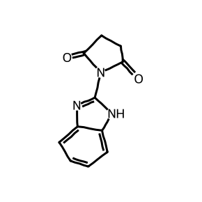 O=C1CCC(=O)N1c1nc2ccccc2[nH]1